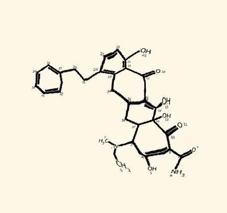 CN(C)C1C(O)=C(C(N)=O)C(=O)C2(O)C(O)=C3C(=O)c4c(O)ccc(CCc5ccccc5)c4CC3CC12